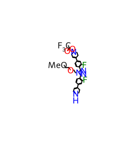 COCCOCCn1c(-c2ccc(C3=CCNCC3)cc2F)nnc1-c1ccc(C2=CCN(OC(=O)C(F)(F)F)CC2)cc1F